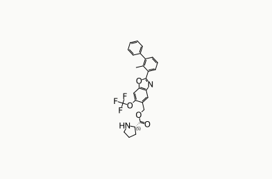 Cc1c(-c2ccccc2)cccc1-c1nc2cc(COC(=O)[C@@H]3CCCN3)c(OC(F)(F)F)cc2o1